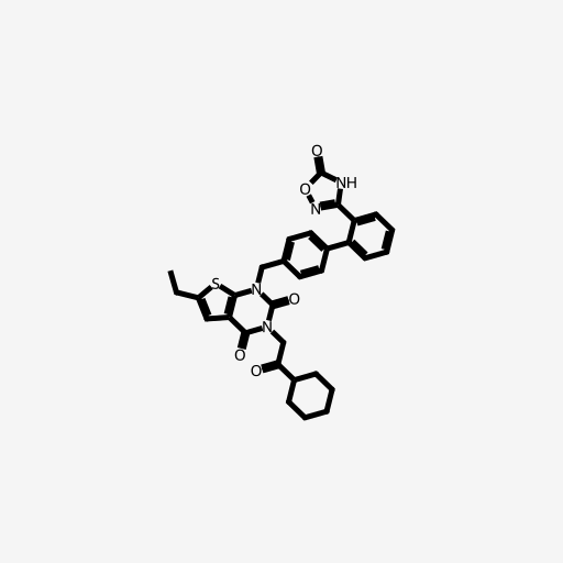 CCc1cc2c(=O)n(CC(=O)C3CCCCC3)c(=O)n(Cc3ccc(-c4ccccc4-c4noc(=O)[nH]4)cc3)c2s1